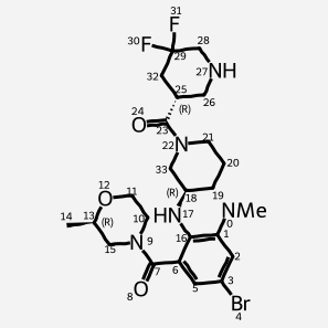 CNc1cc(Br)cc(C(=O)N2CCO[C@H](C)C2)c1N[C@@H]1CCCN(C(=O)[C@H]2CNCC(F)(F)C2)C1